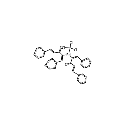 O=C(C=Cc1ccccc1)[C](=Cc1ccccc1)[Pd]([C](=Cc1ccccc1)C(=O)C=Cc1ccccc1)[C](Cl)(Cl)Cl